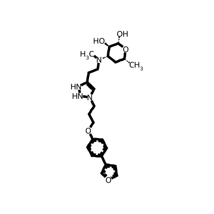 C[C@@H]1C[C@H](N(C)CCC2=CN(CCCOc3ccc(-c4ccoc4)cc3)NN2)[C@@H](O)[C@H](O)O1